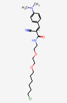 CN(C)c1ccc(/C=C(\C#N)C(=O)NCCOCCOCCCCCCCl)cc1